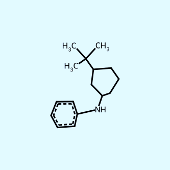 CC(C)(C)C1CCCC(Nc2ccccc2)C1